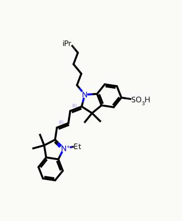 CC[N+]1=C(/C=C/C=C2/N(CCCCC(C)C)c3ccc(S(=O)(=O)O)cc3C2(C)C)C(C)(C)c2ccccc21